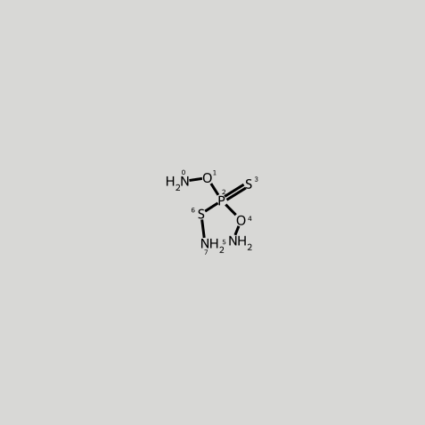 NOP(=S)(ON)SN